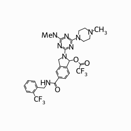 CNc1nc(N2CCN(C)CC2)nc(N2Cc3cc(C(=O)NCc4ccccc4C(F)(F)F)ccc3C2OC(=O)C(F)(F)F)n1